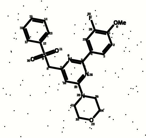 COc1ccc(-c2nc(CS(=O)(=O)c3ccccc3)cc(N3CCOCC3)n2)cc1F